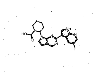 O=C(O)C1CCCCC1n1ccc2cnc(-c3c[nH]c4ncc(F)cc34)nc21